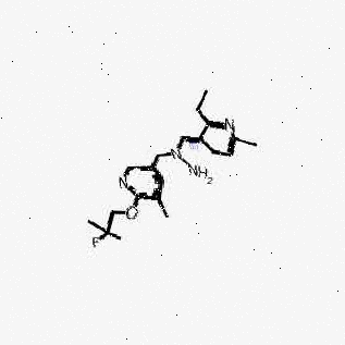 CCC1=NC(C)=CC/C1=C\N(N)Cc1cnc(OCC(C)(C)F)c(C)c1